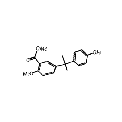 COC(=O)c1cc(C(C)(C)c2ccc(O)cc2)ccc1OC